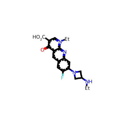 CCNC1CN(c2cc3nc4c(cc3cc2F)c(=O)c(C(=O)O)cn4CC)C1